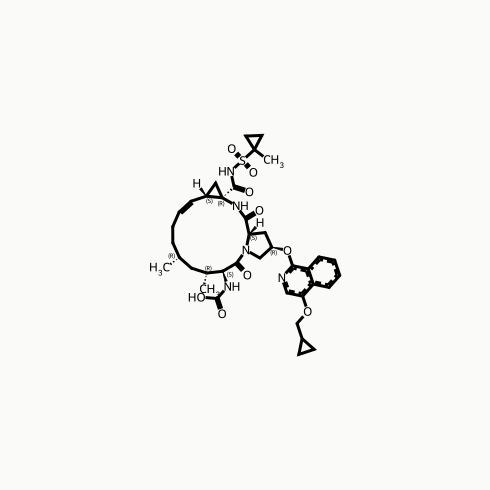 C[C@@H]1CCC=C[C@@H]2C[C@@]2(C(=O)NS(=O)(=O)C2(C)CC2)NC(=O)[C@@H]2C[C@@H](Oc3ncc(OCC4CC4)c4ccccc34)CN2C(=O)[C@@H](NC(=O)O)[C@H](C)C1